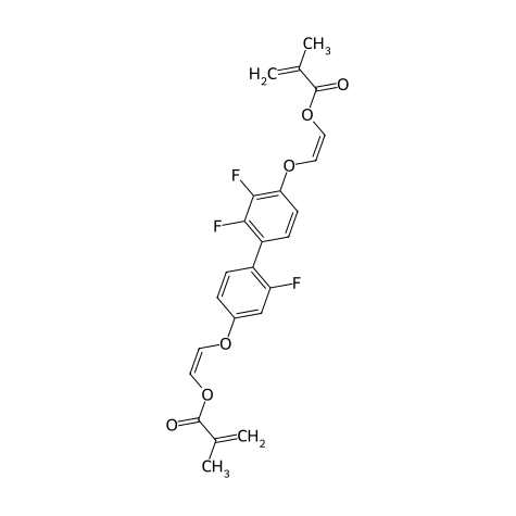 C=C(C)C(=O)O/C=C\Oc1ccc(-c2ccc(O/C=C\OC(=O)C(=C)C)c(F)c2F)c(F)c1